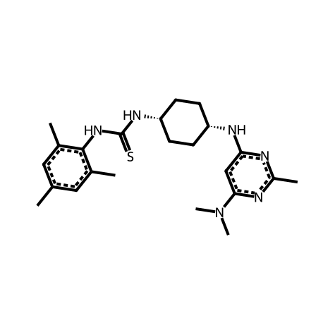 Cc1cc(C)c(NC(=S)N[C@H]2CC[C@@H](Nc3cc(N(C)C)nc(C)n3)CC2)c(C)c1